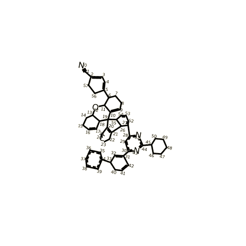 N#CC1=CC=C(C2CCC=C3C2OC2CCC=CC2C32C3=C(CCCC3)C3C(c4cc(C5=CC(c6ccccc6)CC=C5)nc(C5CCCCC5)n4)=CC=CC32)CC1